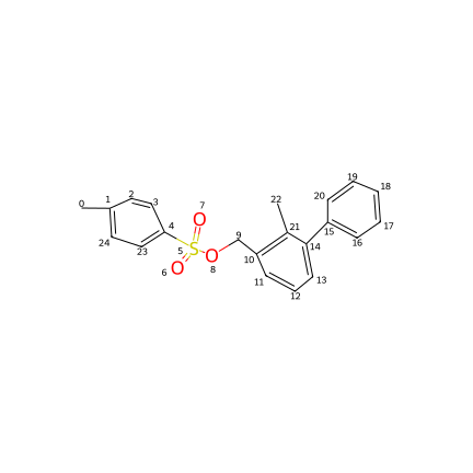 Cc1ccc(S(=O)(=O)OCc2cccc(-c3ccccc3)c2C)cc1